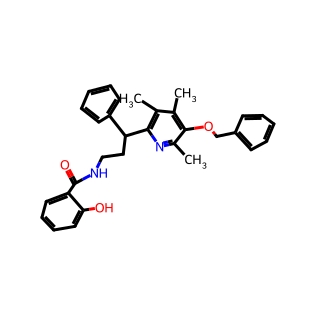 Cc1nc(C(CCNC(=O)c2ccccc2O)c2ccccc2)c(C)c(C)c1OCc1ccccc1